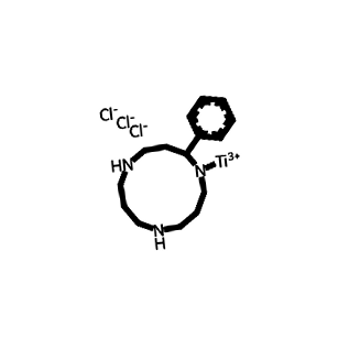 [Cl-].[Cl-].[Cl-].[Ti+3][N]1CCCNCCCNCCC1c1ccccc1